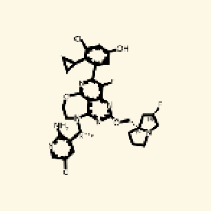 C[C@H](c1cc(Cl)cnc1N)N1CCOc2nc(-c3cc(O)cc(Cl)c3C3CC3)c(F)c3nc(OC[C@@]45CCCN4C[C@H](F)C5)nc1c23